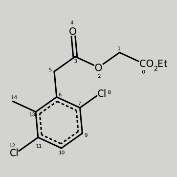 CCOC(=O)COC(=O)Cc1c(Cl)ccc(Cl)c1C